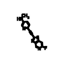 CNc1ccc(C#Cc2nc3cnc(F)cc3s2)nc1